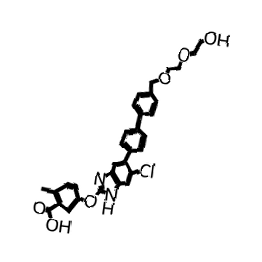 Cc1ccc(Oc2nc3cc(-c4ccc(-c5ccc(COCCOCCO)cc5)cc4)c(Cl)cc3[nH]2)cc1C(=O)O